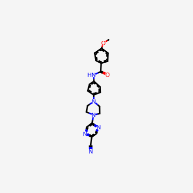 COc1ccc(C(=O)Nc2ccc(N3CCN(c4cnc(C#N)cn4)CC3)cc2)cc1